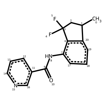 CC1CC(F)(F)c2c(NC(=O)c3cccnc3)cccc21